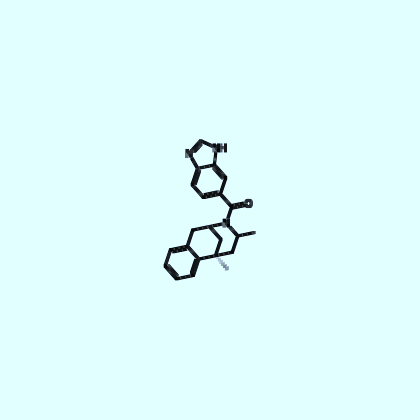 CC1C[C@]2(C)CC(Cc3ccccc32)N1C(=O)c1ccc2nc[nH]c2c1